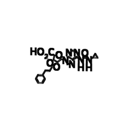 O=C(Nc1ncnc2c1ncn2C1OC(C(=O)O)C2OC(C=Cc3ccccc3)OC21)NC1CC1